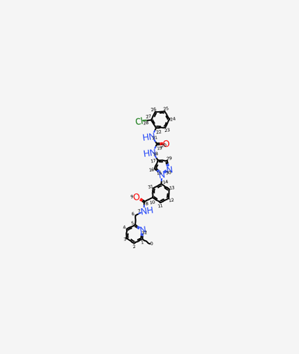 Cc1cccc(CNC(=O)c2cccc(-n3cc(NC(=O)Nc4ccccc4Cl)cn3)c2)n1